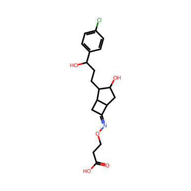 O=C(O)CCON=C1CC2C1CC(O)C2CCC(O)c1ccc(Cl)cc1